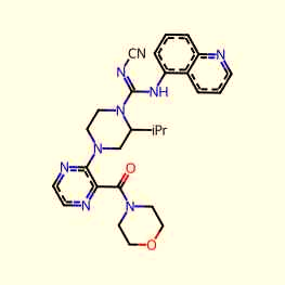 CC(C)C1CN(c2nccnc2C(=O)N2CCOCC2)CCN1/C(=N/C#N)Nc1cccc2ncccc12